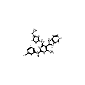 Cc1nc(Nc2cccc(F)c2)nc(N[C@H]2CC[C@@H](CO)C2)c1-c1nc2cnccc2s1